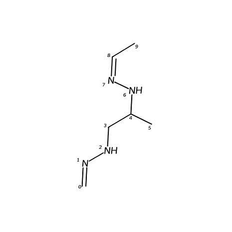 C=NNCC(C)N/N=C\C